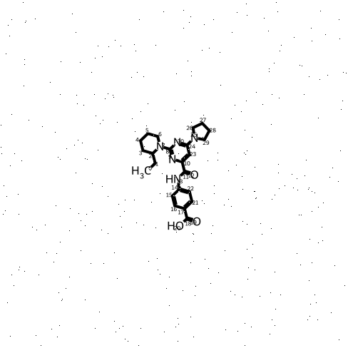 CCC1CCCCN1c1nc(C(=O)Nc2ccc(C(=O)O)cc2)cc(N2CCCC2)n1